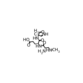 CNC[C@H](N)C(=O)N[C@@H](CCC(=O)O)C(=O)N[C@](C)(C=N)C=O